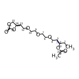 CC/C(=C/COCCOCCOCC=C1COC(=O)O1)OC(C)=O